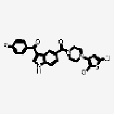 O=C(c1ccc(F)cc1)c1c[nH]c2ccc(C(=O)N3CCN(c4cc(Cl)sc4Cl)CC3)cc12